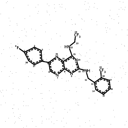 Fc1ccc(-c2cnc3nc(NCc4ccccc4C(F)(F)F)nc(NCC(F)(F)F)c3n2)cc1